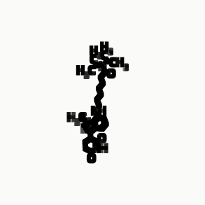 CC(C)N(C(=O)CCCCCCNc1cccc2c(C3CCC(=O)NC3=O)nn(C)c12)C(C)C